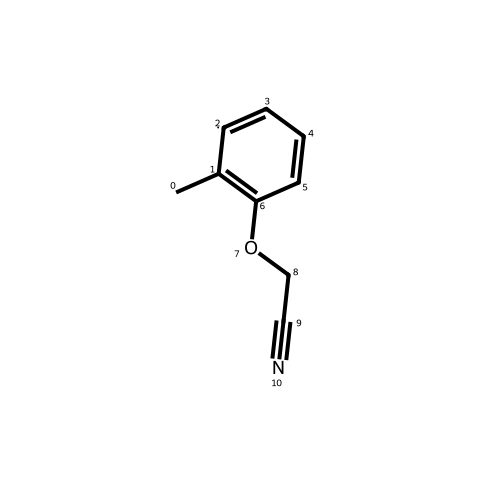 Cc1[c]cccc1OCC#N